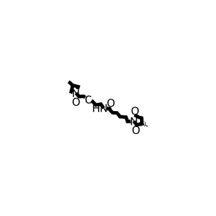 CC1CN(C(=O)CCCCCNC(=O)CCCCCN2C(=O)C[C@H](C)C2=O)C1